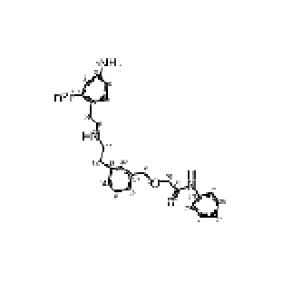 CCCc1cc(N)ccc1CCNCCc1cccc(COCC(=O)Nc2ccccc2)c1